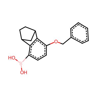 OB(O)c1ccc(OCc2ccccc2)c2c1C1CCC2C1